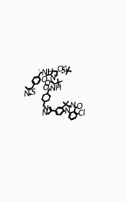 Cc1ncsc1-c1ccc([C@H](C)NC(=O)C2CC(O[Si](C)(C)C(C)(C)C)CN2C(=O)[C@@H](NC(=O)C2CCC(Cn3cc(-c4ccc5c(c4)C(C)(C)c4nc(=O)c6c(Cl)cccc6n4-5)cn3)CC2)C(C)(C)C)cc1